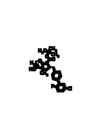 C=C(O)[C@]1(C)C[C@@H](Cc2ccc(-c3cc(Cl)ccc3F)cc2)N(C(=O)OC(C)(C)C)C1=O